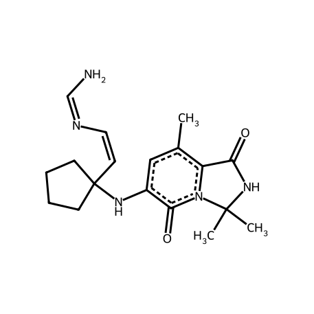 Cc1cc(NC2(/C=C\N=C/N)CCCC2)c(=O)n2c1C(=O)NC2(C)C